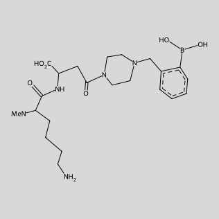 CNC(CCCCN)C(=O)NC(CC(=O)N1CCN(Cc2ccccc2B(O)O)CC1)C(=O)O